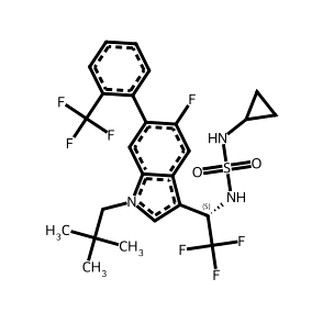 CC(C)(C)Cn1cc([C@H](NS(=O)(=O)NC2CC2)C(F)(F)F)c2cc(F)c(-c3ccccc3C(F)(F)F)cc21